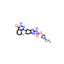 CN1CC(OC(=O)Nc2nc3cc(-c4n[nH]c(=O)c5cccc(F)c45)ccc3[nH]2)C1